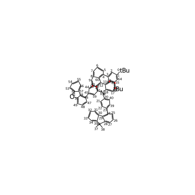 CC(C)(C)c1cc(-c2cccc3cccc(-c4ccccc4N(c4ccc(-c5cccc6c5-c5ccccc5C6(C)C)cc4)c4cccc(-c5cccc6oc7ccccc7c56)c4)c23)cc(C(C)(C)C)c1